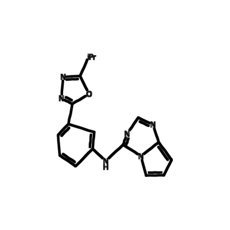 CC(C)c1nnc(-c2cccc(Nc3ncnc4cccn34)c2)o1